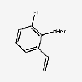 C=Cc1cccc(CC)c1CCCCCC